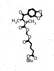 CC(C(=O)c1ccc2c(c1)OCO2)N(C)C(=O)OCOC(=O)CCCC(=O)OC(C)(C)C